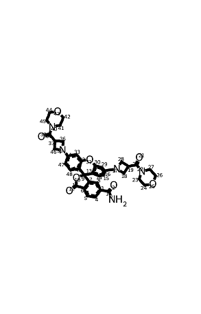 NC(=O)c1ccc2c(c1)C1(OC2=O)c2ccc(N3CC(C(=O)N4CCOCC4)C3)cc2Oc2cc(N3CC(C(=O)N4CCOCC4)C3)ccc21